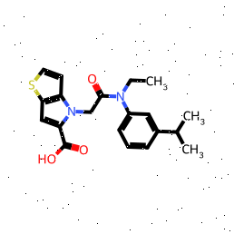 CCN(C(=O)Cn1c(C(=O)O)cc2sccc21)c1cccc(C(C)C)c1